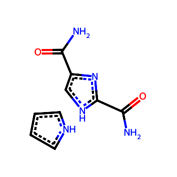 NC(=O)c1c[nH]c(C(N)=O)n1.c1cc[nH]c1